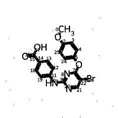 COc1ccc(Oc2nc(Nc3ccc(C(=O)O)cc3)ncc2Br)cc1